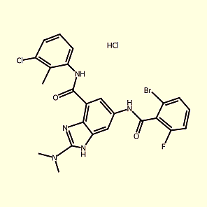 Cc1c(Cl)cccc1NC(=O)c1cc(NC(=O)c2c(F)cccc2Br)cc2[nH]c(N(C)C)nc12.Cl